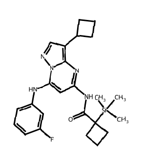 C[Si](C)(C)C1(C(=O)Nc2cc(Nc3cccc(F)c3)n3ncc(C4CCC4)c3n2)CCC1